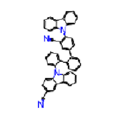 N#Cc1ccc2c(c1)c1ccccc1n2-c1ccccc1-c1ccccc1-c1ccc(-n2c3ccccc3c3ccccc32)c(C#N)c1